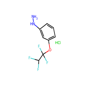 Cl.NNc1cccc(OC(F)(F)C(F)F)c1